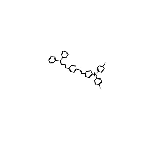 Cc1ccc(N(c2ccc(C)cc2)c2ccc(C=Cc3ccc(C=CC=C(c4ccccc4)c4ccccc4)cc3)cc2)cc1